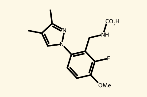 COc1ccc(-n2cc(C)c(C)n2)c(CNC(=O)O)c1F